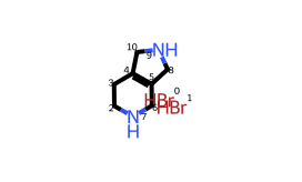 Br.Br.C1CC2=C(CN1)CNC2